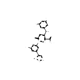 C[C@H](c1cc(N)cc(C(F)(F)F)c1)c1cc(=O)n(-c2cc(F)cc(-c3cnnn3C)c2)nc1C(N)=O